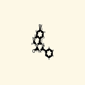 O=c1nc(-c2ccccc2)nc2c3ccc(Br)cc3ncn12